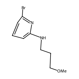 COCCCNc1cccc(Br)n1